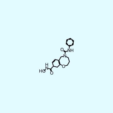 O=C(NO)C1C=CC2=C(C1)OCCCN(C(=O)Nc1ccccc1)C2